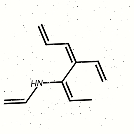 C=C/C=C(C=C)\C(=C/C)NC=C